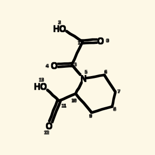 O=C(O)C(=O)N1CCCCC1C(=O)O